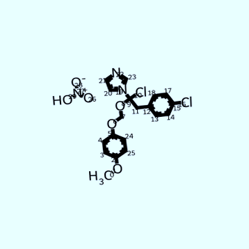 COc1ccc(OCOC(Cl)(Cc2ccc(Cl)cc2)n2ccnc2)cc1.O=[N+]([O-])O